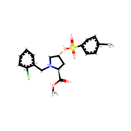 COC(=O)[C@@H]1C[C@@H](OS(=O)(=O)c2ccc(C)cc2)CN1Cc1ccccc1Cl